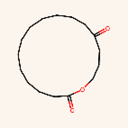 O=C1CCCCCCCCCCCC(=O)OCCC1